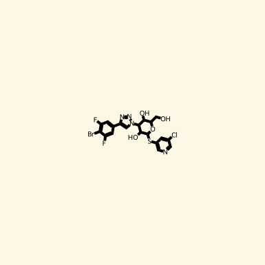 OCC1OC(Sc2cncc(Cl)c2)C(O)C(n2cc(-c3cc(F)c(Br)c(F)c3)nn2)C1O